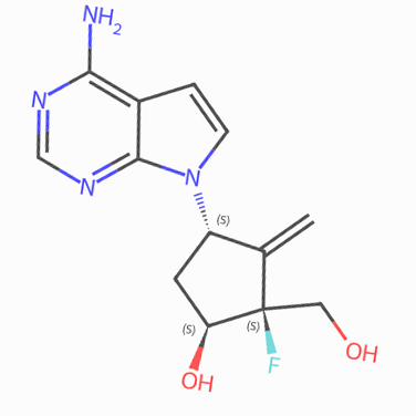 C=C1[C@@H](n2ccc3c(N)ncnc32)C[C@H](O)[C@@]1(F)CO